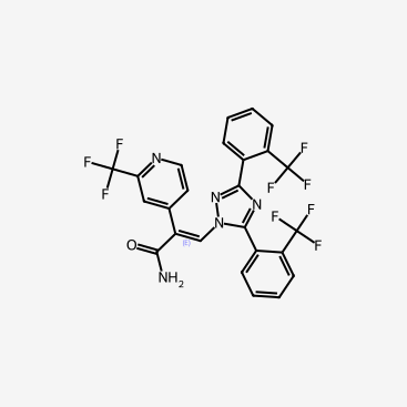 NC(=O)/C(=C/n1nc(-c2ccccc2C(F)(F)F)nc1-c1ccccc1C(F)(F)F)c1ccnc(C(F)(F)F)c1